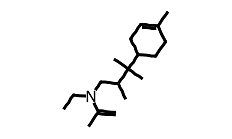 C=C(C)N(CC)CC(C)C(C)(C)C1CC=C(C)CC1